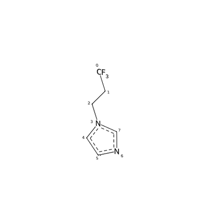 FC(F)(F)CCn1c[c]nc1